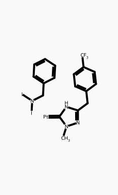 Cn1nc(Cc2ccc(C(F)(F)F)cc2)[nH][c]1=[Pt].IN(I)Cc1ccccc1